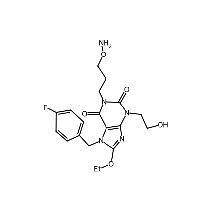 CCOc1nc2c(c(=O)n(CCCON)c(=O)n2CCO)n1Cc1ccc(F)cc1